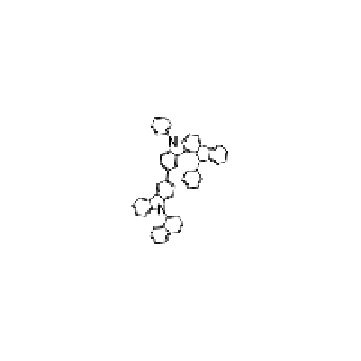 c1ccc(C2c3ccccc3-c3ccc4c(c32)c2cc(-c3ccc5c(c3)c3ccccc3n5-c3cccc5ccccc35)ccc2n4-c2ccccc2)cc1